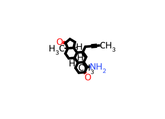 CC#CCC1=CC2=C(N)C(=O)CC[C@]2(C)[C@H]2CC[C@]3(C)C(=O)CC[C@H]3[C@H]12